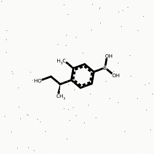 Cc1cc(B(O)O)ccc1[C@@H](C)CO